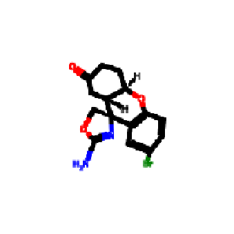 NC1=N[C@@]2(CO1)c1cc(Br)ccc1O[C@@H]1CCC(=O)C[C@H]12